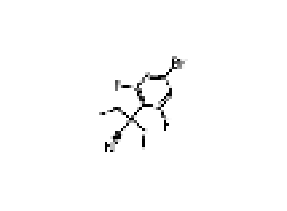 CCC(C#N)(CC)c1c(F)cc(Br)cc1F